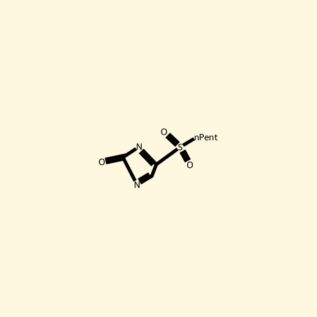 CCCCCS(=O)(=O)C1=NC(=O)N=C1